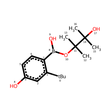 CC(C)(C)c1cc(O)ccc1B(O)OC(C)(C)C(C)(C)O